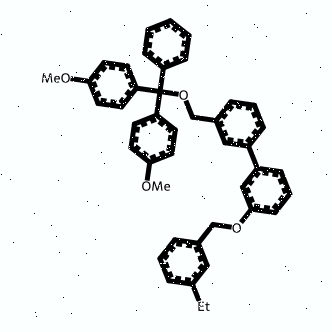 CCc1cccc(COc2cccc(-c3cccc(COC(c4ccccc4)(c4ccc(OC)cc4)c4ccc(OC)cc4)c3)c2)c1